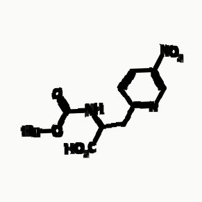 CC(C)(C)OC(=O)NC(Cc1ccc([N+](=O)[O-])cn1)C(=O)O